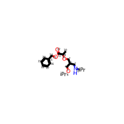 CC(C)NCC(COC(C)C)COC(C)C(=O)OCc1ccccc1